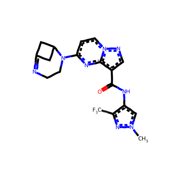 Cn1cc(NC(=O)c2cnn3ccc(N4CCN=C5CC4C5)nc23)c(C(F)(F)F)n1